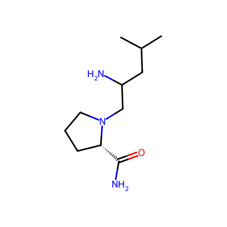 CC(C)CC(N)CN1CCC[C@H]1C(N)=O